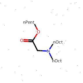 CCCCCCCCN(CCCCCCCC)CC(=O)OCCCCC